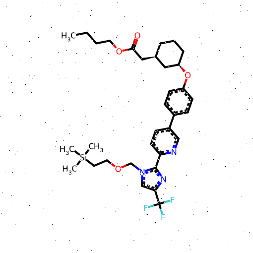 CCCCOC(=O)C[C@H]1CCC[C@@H](Oc2ccc(-c3ccc(-c4nc(C(F)(F)F)cn4COCC[Si](C)(C)C)nc3)cc2)C1